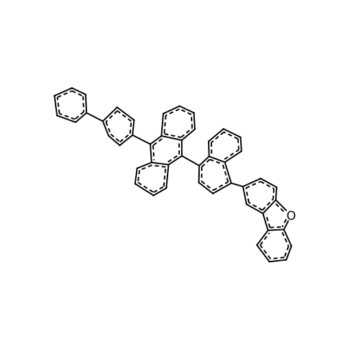 c1ccc(-c2ccc(-c3c4ccccc4c(-c4ccc(-c5ccc6oc7ccccc7c6c5)c5ccccc45)c4ccccc34)cc2)cc1